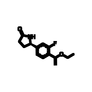 C=C(OCC)c1ccc([C@H]2CCC(=O)N2)cc1F